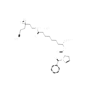 C#CCCC1(CCNC(=O)[C@H](O)CCCCC[C@@H](CCCCCC)OC(=O)[C@@H]2CC=CN2C(=O)c2ccccc2)N=N1